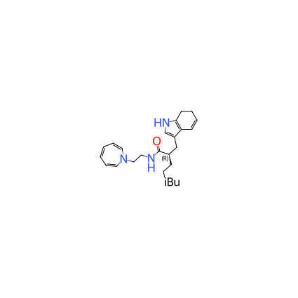 [CH2]C(CC)CC[C@H](Cc1c[nH]c2c1C=CCC2)C(=O)NCCN1C=CC=CC=C1